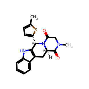 Cc1ccc([C@H]2c3[nH]c4ccccc4c3C[C@@H]3C(=O)N(C)CC(=O)N23)s1